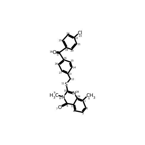 Cc1cccc2c(=O)n(C)c(SCc3ccc(C(=O)c4ccc(Cl)cc4)cc3)nc12